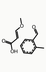 COC=CC(=O)O.Cc1ccccc1C=O